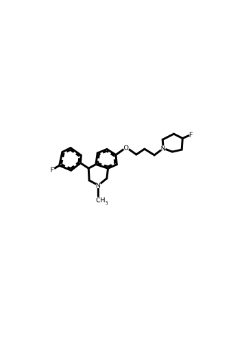 CN1Cc2cc(OCCCN3CCC(F)CC3)ccc2C(c2cccc(F)c2)C1